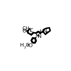 COc1ccc(-c2cc(C3CC4CCC(C3)N4)nn2-c2ccc(OC)cc2)cc1